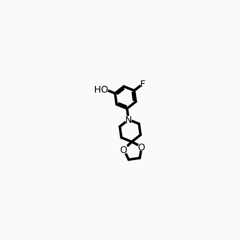 Oc1cc(F)cc(N2CCC3(CC2)OCCO3)c1